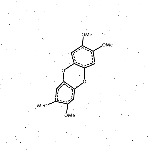 COc1cc2c(cc1OC)Oc1cc(OC)c(OC)cc1O2